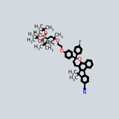 CC(C)(C)O[Si](CCC(C)(C)OCCOc1ccc(C2(c3ccc(F)cc3)C=Cc3c4c(c5ccccc5c3O2)-c2ccc(C#N)cc2C4(C)C)cc1)(OC(C)(C)C)OC(C)(C)C